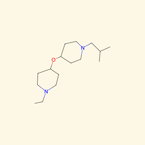 CCN1CCC(OC2CCN(CC(C)C)CC2)CC1